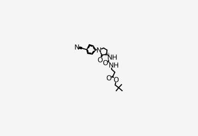 CC(C)(C)COC(=O)CCNC(=O)N[C@H]1CCN(c2ccc(C#N)cc2)C1=O